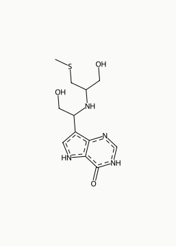 CSCC(CO)NC(CO)c1c[nH]c2c(=O)[nH]cnc12